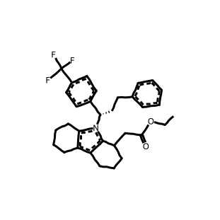 CCOC(=O)CC1CCCc2c3c(n([C@@H](CCc4ccccc4)c4ccc(C(F)(F)F)cc4)c21)CCCC3